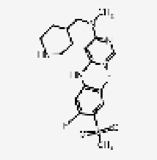 CN(CC1CCNCC1)c1cc(Nc2cc(F)c(S(C)(=O)=O)cc2F)ncn1